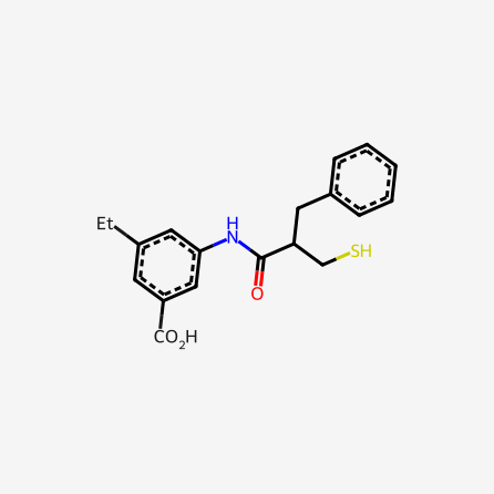 CCc1cc(NC(=O)C(CS)Cc2ccccc2)cc(C(=O)O)c1